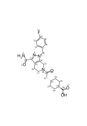 NC(=O)c1nn(Cc2ccc(F)cc2)c2c1CCN(C(=O)C[C@H]1CC[C@H](C(=O)O)CC1)C2